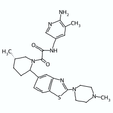 Cc1cc(NC(=O)C(=O)N2C[C@@H](C)CCC2c2ccc3sc(N4CCN(C)CC4)nc3c2)cnc1N